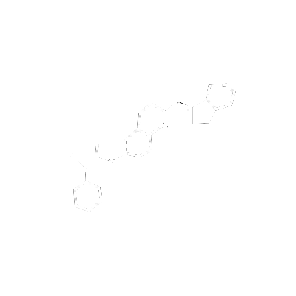 CN(C(=O)Nc1ccc2nc(N[C@@H]3CCc4ccccc43)ccc2c1)c1ccccc1